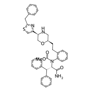 COC(=O)N(c1ccccc1CC[C@@H]1CN[C@H](c2csc(Cc3ccccc3)n2)CO1)[C@H](C(N)=O)C(c1ccccc1)c1ccccc1